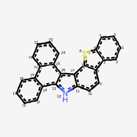 c1ccc2c(c1)sc1c2ccc2[nH]c3c4ccccc4c4ccccc4c3c21